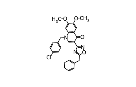 COc1cc2c(=O)c(-c3noc(CC4=CCCC=C4)n3)cn(Cc3ccc(Cl)cc3)c2cc1OC